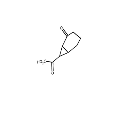 O=C(O)C(=O)C1C2CCCC(=O)C21